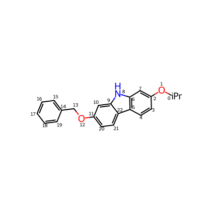 CC(C)Oc1ccc2c(c1)[nH]c1cc(OCc3ccccc3)ccc12